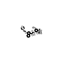 COc1c(NC(=O)C(=O)c2ccc(OCCN3CCOCC3)c3ccccc23)cc(C(C)(C)C)cc1S(=O)(=O)N(C)C